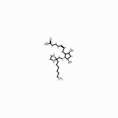 CCCCCCCC1(CC[C@@H]2C(C/C=C\CCCC(=O)O)C(O)C[C@H]2O)OCCO1